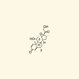 C[C@@H]1C[C@H]2[C@@H]3C[C@H](F)C4=CC(=O)C=C[C@]4(C)[C@@]3(F)[C@@H](O)C[C@@]23O[C@]13C(=O)CO